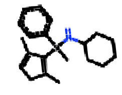 CC1=CCC(C)=C1[Si](C)(NC1CCCCC1)c1ccccc1